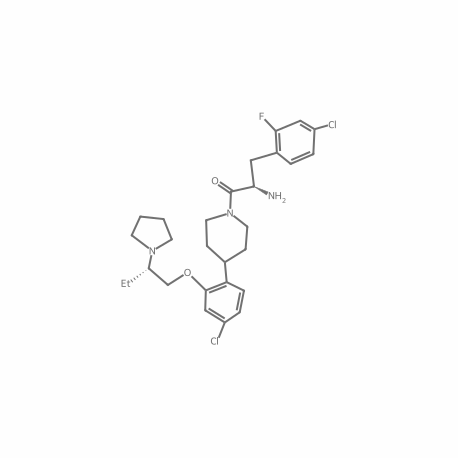 CC[C@@H](COc1cc(Cl)ccc1C1CCN(C(=O)[C@H](N)Cc2ccc(Cl)cc2F)CC1)N1CCCC1